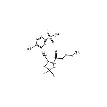 Cc1ccc(S(=O)(=O)O)cc1.N#CC1CC(F)(F)CN1C(=O)CCCN